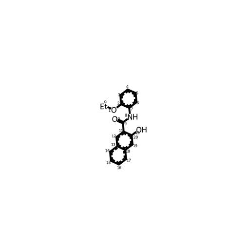 CCOc1ccccc1NC(=O)c1cc2ccccc2cc1O